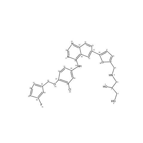 OCC(O)CNCc1ccc(-c2ccc3ncnc(Nc4ccc(OCc5cccc(F)c5)c(Cl)c4)c3c2)o1